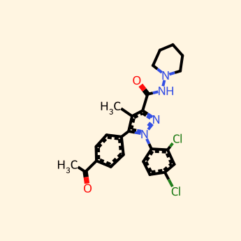 CC(=O)c1ccc(-c2c(C)c(C(=O)NN3CCCCC3)nn2-c2ccc(Cl)cc2Cl)cc1